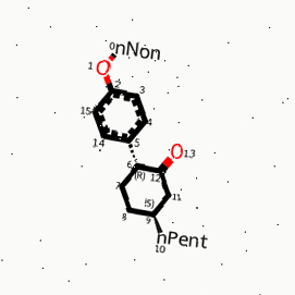 CCCCCCCCCOc1ccc([C@H]2CC[C@H](CCCCC)CC2=O)cc1